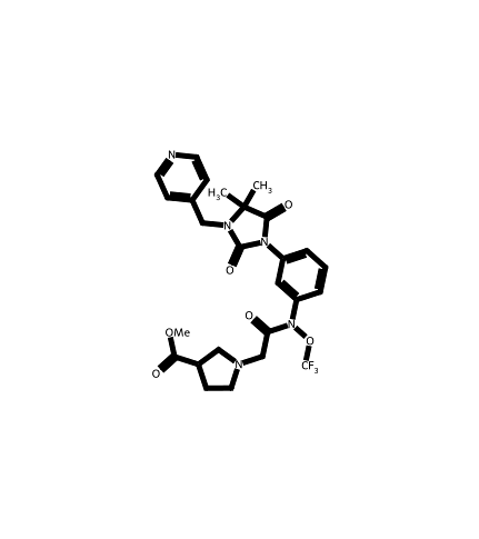 COC(=O)C1CCN(CC(=O)N(OC(F)(F)F)c2cccc(N3C(=O)N(Cc4ccncc4)C(C)(C)C3=O)c2)C1